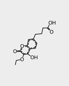 CCOc1c(O)c2ccc(CCCC(=O)O)cc2oc1=O